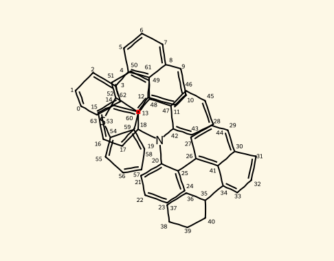 c1ccc(-c2cccc3cccc(-c4ccccc4N(c4ccccc4-c4cccc5cccc(C6CCCCC6)c45)c4ccccc4-c4cccc5sc6ccccc6c45)c23)cc1